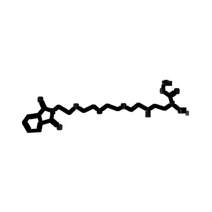 CN(CCNCCOCCOCCOCCN1C(=O)c2ccccc2C1=O)C(=O)OC(C)(C)C